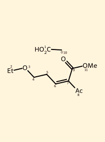 CC(=O)O.CCOCCC=C(C(C)=O)C(=O)OC